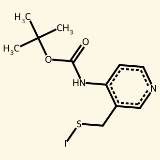 CC(C)(C)OC(=O)Nc1ccncc1CSI